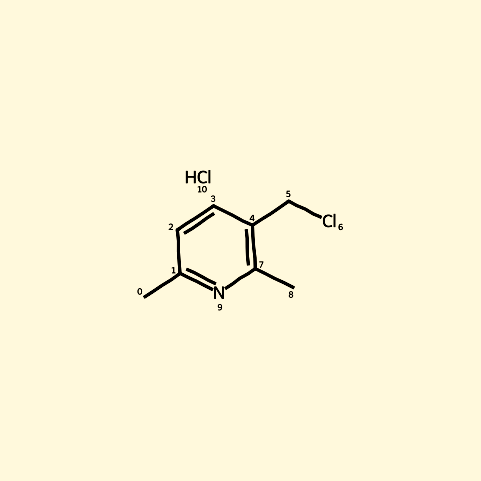 Cc1ccc(CCl)c(C)n1.Cl